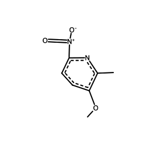 COc1ccc([N+](=O)[O-])nc1C